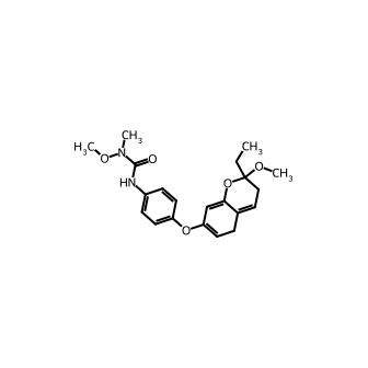 CCC1(OC)CC=C2CC=C(Oc3ccc(NC(=O)N(C)OC)cc3)C=C2O1